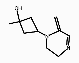 C=C1C=NCCN1C1CC(C)(O)C1